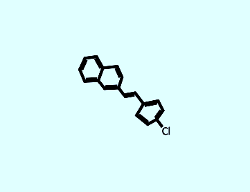 Clc1ccc(/C=C/c2ccc3ccccc3c2)cc1